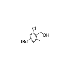 Cc1cc(C(C)(C)C)cc(Cl)c1CO